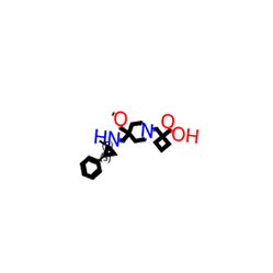 COCC1(CN[C@]2(C)C[C@H]2c2ccccc2)CCN(CC2(C(=O)O)CCC2)CC1